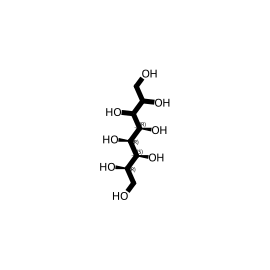 OCC(O)C(O)[C@@H](O)[C@H](O)[C@@H](O)[C@H](O)CO